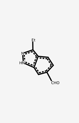 CCc1n[nH]c2cc(C=O)ccc12